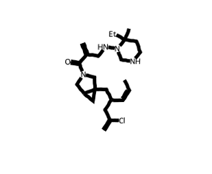 C=C(Cl)CC(/C=C\C)CC12CC1CN(C(=O)C(=C)CNN1CNCCC1(C)CC)C2